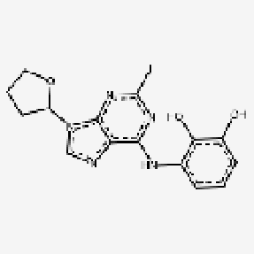 Oc1cccc(Nc2nc(I)nc3c2ncn3C2CCCO2)c1O